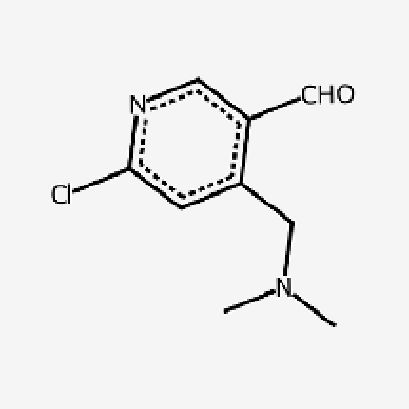 CN(C)Cc1cc(Cl)ncc1C=O